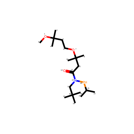 COC(C)(C)CCOC(C)(C)CC(=O)N(CC(C)(C)C)PC(C)C